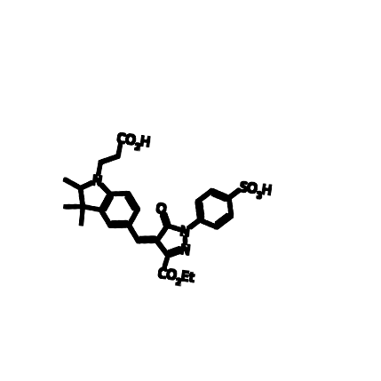 CCOC(=O)C1=NN(c2ccc(S(=O)(=O)O)cc2)C(=O)/C1=C\c1ccc2c(c1)C(C)(C)C(C)N2CCC(=O)O